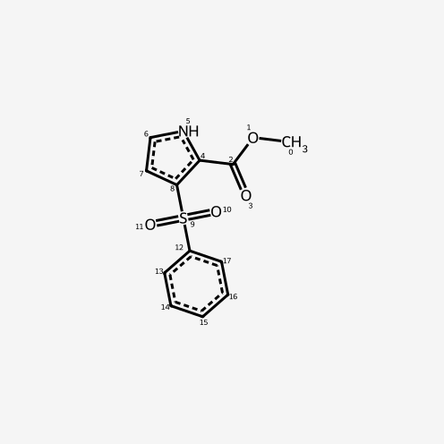 COC(=O)c1[nH]ccc1S(=O)(=O)c1ccccc1